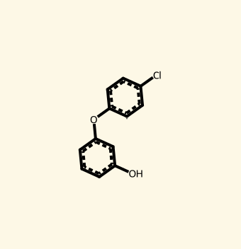 Oc1cccc(Oc2[c]cc(Cl)cc2)c1